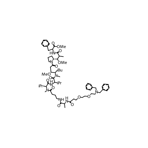 CCC(C)C(C(CC(=O)N1CCC[C@H]1C(OC)C(C)C(=O)NC(Cc1ccccc1)C(=O)OC)OC)N(C)C(=O)C(NC(=O)C(C(C)C)N(C)C(=O)CCCNC(=O)C(C)NC(=O)CCOCCOCCN(Cc1ccccc1)Cc1ccccc1)C(C)C